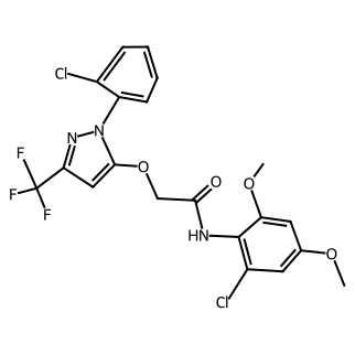 COc1cc(Cl)c(NC(=O)COc2cc(C(F)(F)F)nn2-c2ccccc2Cl)c(OC)c1